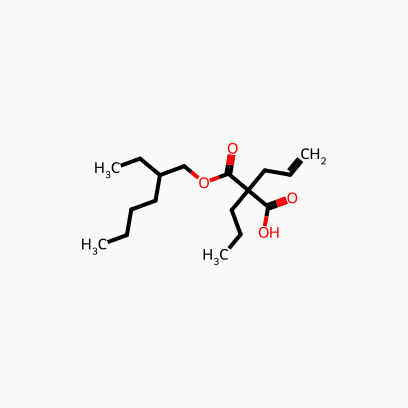 C=CCC(CCC)(C(=O)O)C(=O)OCC(CC)CCCC